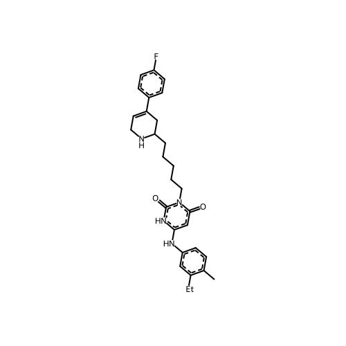 CCc1cc(Nc2cc(=O)n(CCCCCC3CC(c4ccc(F)cc4)=CCN3)c(=O)[nH]2)ccc1C